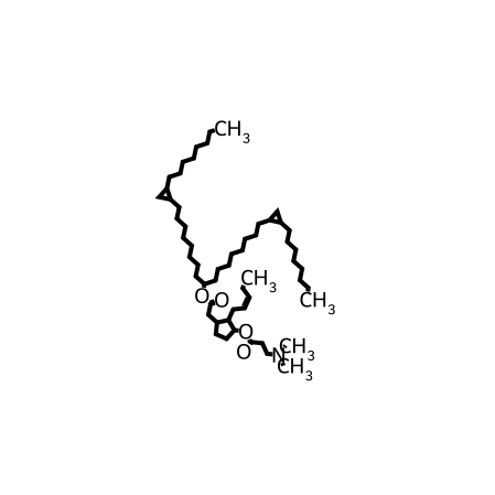 CC/C=C\CC1C(CC(=O)OC(CCCCCCCCC2CC2CCCCCCCC)CCCCCCCCC2CC2CCCCCCCC)CCC1OC(=O)CCN(C)C